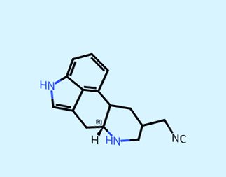 [C-]#[N+]CC1CN[C@@H]2Cc3c[nH]c4cccc(c34)C2C1